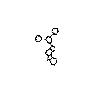 c1ccc(-c2cc(-c3ccccc3)nc(-n3ccc4c5c(ccc43)sc3ccccc35)c2)cc1